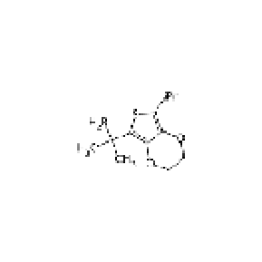 BC(C)(C)c1sc(C(C)C)c2c1OCCO2